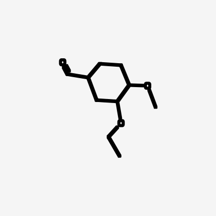 CCOC1CC(C=O)CCC1OC